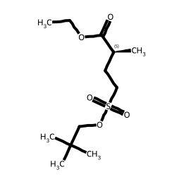 CCOC(=O)[C@@H](C)CCS(=O)(=O)OCC(C)(C)C